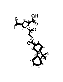 O=C(NCC(=O)N1CC(=C(F)F)CC1C(=O)O)c1ccc2c(c1)-c1ccccc1C2(F)F